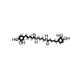 O=C(C=CC=Cc1ccc(O)c(O)c1)NCCCCNC(=O)C=CC=Cc1ccc(O)c(O)c1